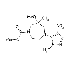 COC1(C)CN(C(=O)OC(C)(C)C)CCN(c2c([N+](=O)[O-])cnn2C)C1